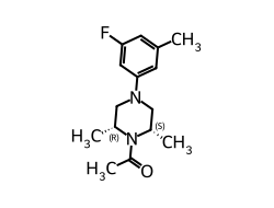 CC(=O)N1[C@H](C)CN(c2cc(C)cc(F)c2)C[C@@H]1C